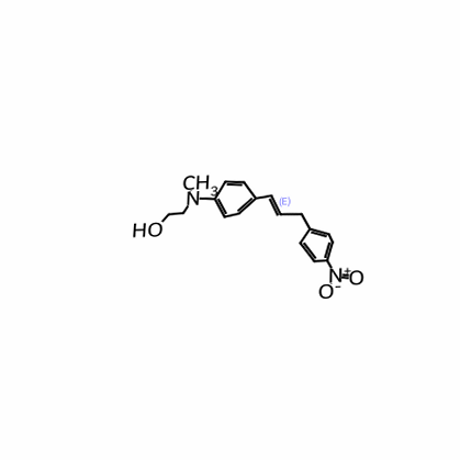 CN(CCO)c1ccc(/C=C/Cc2ccc([N+](=O)[O-])cc2)cc1